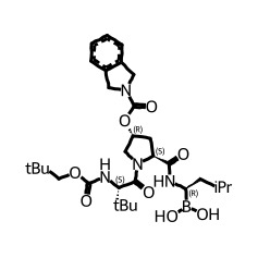 CC(C)C[C@H](NC(=O)[C@@H]1C[C@@H](OC(=O)N2Cc3ccccc3C2)CN1C(=O)[C@@H](NC(=O)OCC(C)(C)C)C(C)(C)C)B(O)O